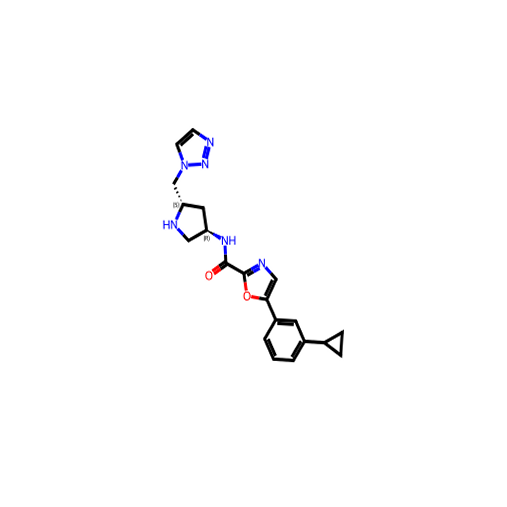 O=C(N[C@H]1CN[C@H](Cn2ccnn2)C1)c1ncc(-c2cccc(C3CC3)c2)o1